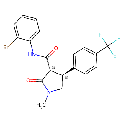 CN1C[C@H](c2ccc(C(F)(F)F)cc2)[C@@H](C(=O)Nc2ccccc2Br)C1=O